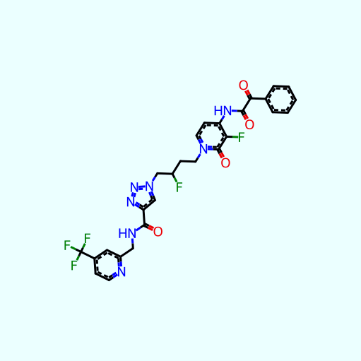 O=C(Nc1ccn(CCC(F)Cn2cc(C(=O)NCc3cc(C(F)(F)F)ccn3)nn2)c(=O)c1F)C(=O)c1ccccc1